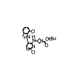 Cc1cccc(Cl)c1NCc1cnc(Cl)nc1NC1CN(C(=O)OC(C)(C)C)C1